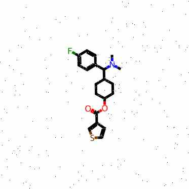 CN(C)C(c1ccc(F)cc1)C1CCC(OC(=O)c2ccsc2)CC1